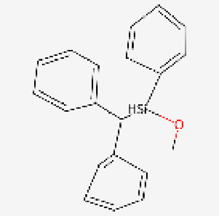 CO[SiH](c1ccccc1)C(c1ccccc1)c1ccccc1